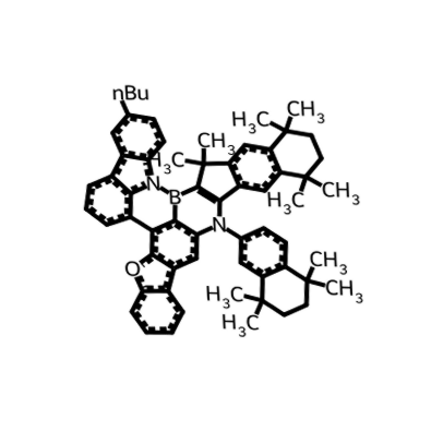 CCCCc1ccc2c(c1)c1cccc3c1n2B1C2=C(c4cc5c(cc4C2(C)C)C(C)(C)CCC5(C)C)N(c2ccc4c(c2)C(C)(C)CCC4(C)C)c2cc4c(oc5ccccc54)c-3c21